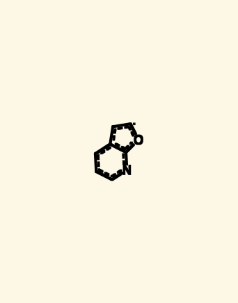 [c]1cc2cccnc2o1